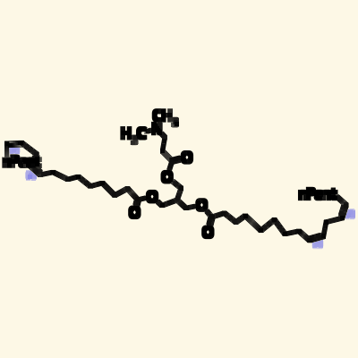 CCCCC/C=C\C/C=C\CCCCCCCC(=O)OCC(COC(=O)CCCCCCC/C=C\C/C=C\CCCCC)COC(=O)CCN(C)C